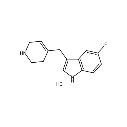 Cl.Fc1ccc2[nH]cc(CC3=CCNCC3)c2c1